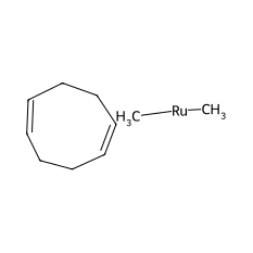 C1=CCCC=CCC1.[CH3][Ru][CH3]